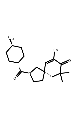 CC1(C)C[C@]2(C=C(C#N)C1=O)CCN(C(=O)[C@H]1CC[C@H](C(F)(F)F)CC1)C2